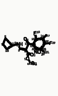 CCCCOC(=O)/C(=C/NC1CCC1)C(=O)c1c(F)c(C)c(F)c(F)c1[N+](=O)[O-]